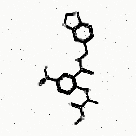 COC(=O)C(C)Nc1ccc([N+](=O)[O-])cc1C(=O)NCc1ccc2c(c1)OCO2